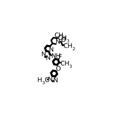 C=CC(=O)N1CC(c2ccc3ncnc(Nc4ccc(Oc5ccc6c(c5)ncn6C)c(C)c4F)c3n2)CCC1(C)C